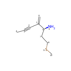 C=C(C#CC)[C@@H](N)CCSC